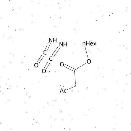 CCCCCCOC(=O)CC(C)=O.N=C=O.N=C=O